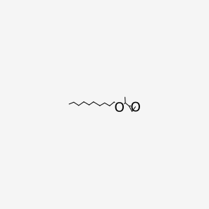 CCCCCCCCCCOC(C)C1CO1